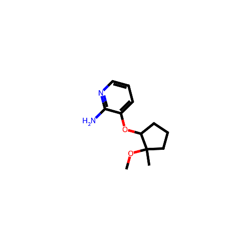 COC1(C)CCCC1Oc1cccnc1N